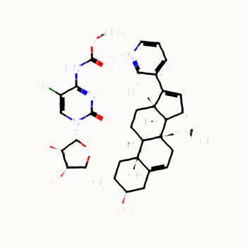 CC(=O)O.CCCCCOC(=O)Nc1nc(=O)n([C@@H]2O[C@H](C)[C@@H](O)[C@H]2O)cc1F.C[C@]12CC[C@H](O)CC1=CC[C@@H]1[C@@H]2CC[C@]2(C)C(c3cccnc3)=CC[C@@H]12